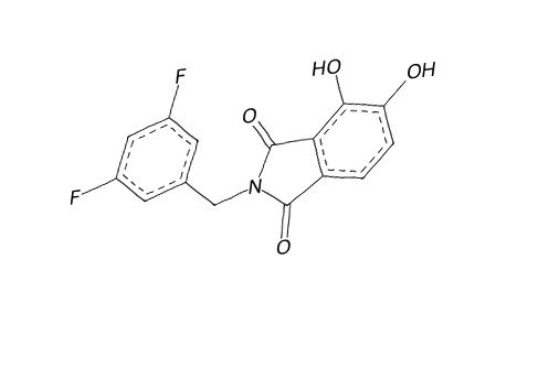 O=C1c2ccc(O)c(O)c2C(=O)N1Cc1cc(F)cc(F)c1